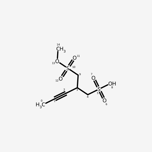 CC#CC(CS(=O)(=O)O)CS(=O)(=O)OC